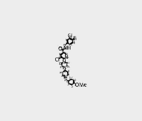 COc1ccc(CN2CCC(N3CCN(c4ncc(C(=O)NCc5ccc(F)c(Cl)c5)cc4Cl)CC3)CC2)cc1